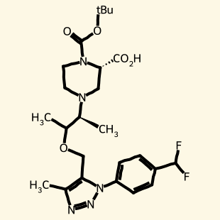 Cc1nnn(-c2ccc(C(F)F)cc2)c1COC(C)[C@H](C)N1CCN(C(=O)OC(C)(C)C)[C@H](C(=O)O)C1